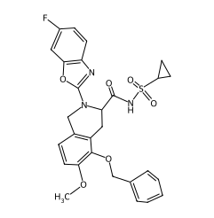 COc1ccc2c(c1OCc1ccccc1)CC(C(=O)NS(=O)(=O)C1CC1)N(c1nc3ccc(F)cc3o1)C2